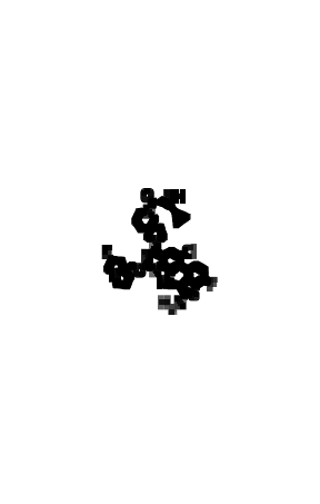 N#Cc1c(N)sc2c(F)ccc(-c3c(Cl)cc4c(N5CCC6(CCCN(C(=O)[C@@H]7N[C@H]7C7CC7)C6)C5)nc(OC[C@@]56CCCN5C[C@H](F)C6)nc4c3F)c12